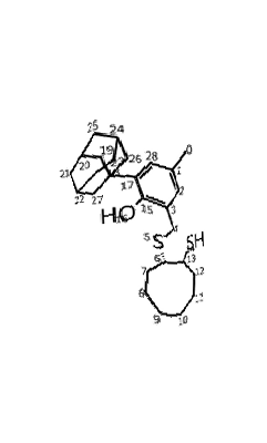 Cc1cc(CS[C@H]2CCCCCC[C@@H]2S)c(O)c(C23CC4CC(CC(C4)C2)C3)c1